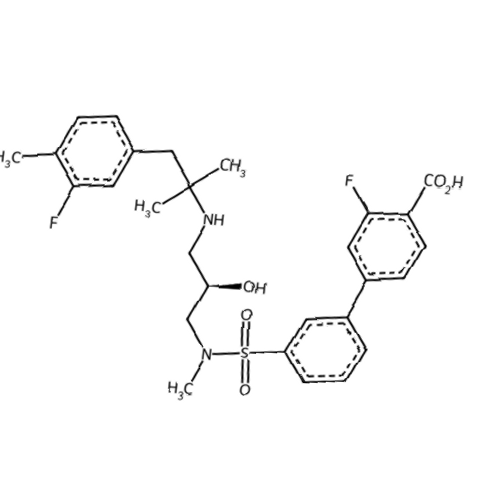 Cc1ccc(CC(C)(C)NC[C@@H](O)CN(C)S(=O)(=O)c2cccc(-c3ccc(C(=O)O)c(F)c3)c2)cc1F